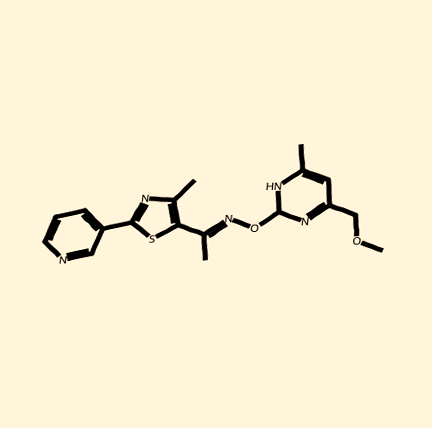 COCC1=NC(O/N=C(\C)c2sc(-c3cccnc3)nc2C)NC(C)=C1